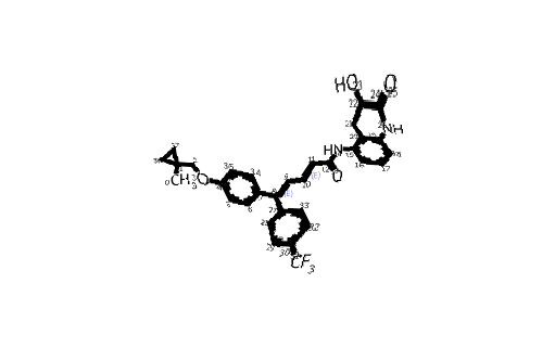 CC1(COc2ccc(/C(=C/C=C/C(=O)Nc3cccc4c3CC(O)C(=O)N4)c3ccc(C(F)(F)F)cc3)cc2)CC1